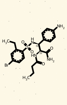 CCCC(=O)N[C@H](C(N)=O)[C@@H](NS(=O)(=O)c1ccc(Br)cc1CC)c1ccc(N)cc1